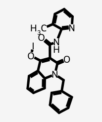 Cc1cccnc1NC(=O)c1c(OI)c2ccccc2n(Cc2ccccc2)c1=O